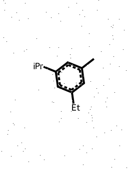 [CH2]C(C)c1cc(C)cc(CC)c1